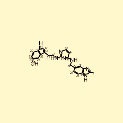 Cc1nc2cc(CNc3ccnc(NCCc4c[nH]c5ccc(O)cc45)n3)ccc2[nH]1